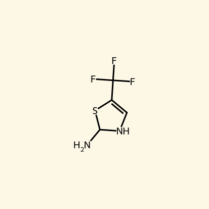 NC1NC=C(C(F)(F)F)S1